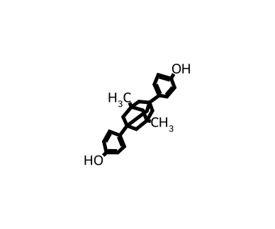 CC12CC3(C)CC(c4ccc(O)cc4)(C1)CC(c1ccc(O)cc1)(C2)C3